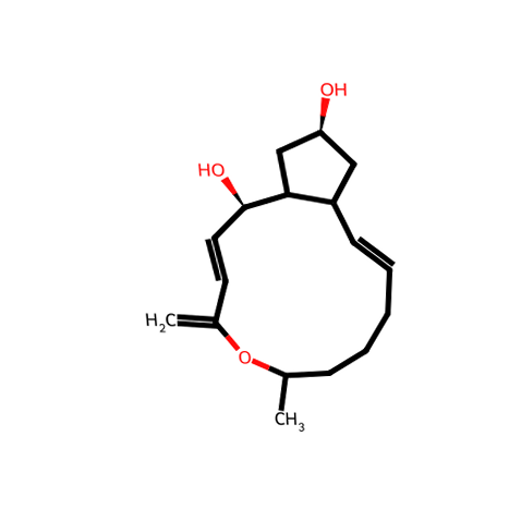 C=C1/C=C/[C@@H](O)C2C[C@@H](O)CC2/C=C/CCCC(C)O1